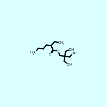 CCCCC(CC)C(=O)OCC(CO)(CO)CO